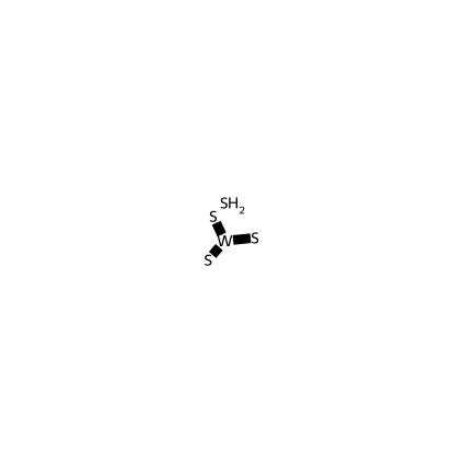 S.[S]=[W](=[S])=[S]